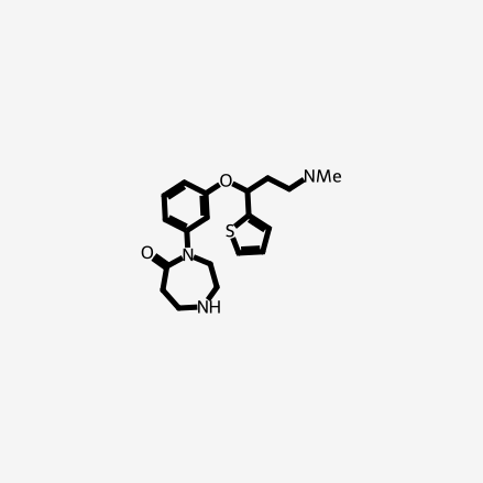 CNCCC(Oc1cccc(N2CCNCCC2=O)c1)c1cccs1